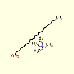 CCCCCC=CCC=CCC=CCC=CCCCC(=O)[O-].CC[N+](CC)(CC)CC